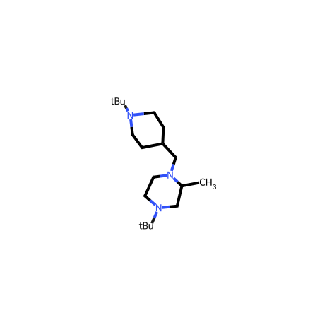 CC1CN(C(C)(C)C)CCN1CC1CCN(C(C)(C)C)CC1